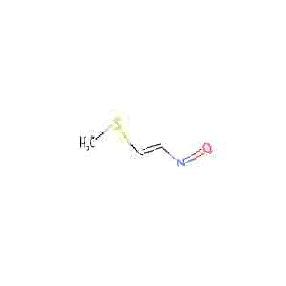 CSC=CN=O